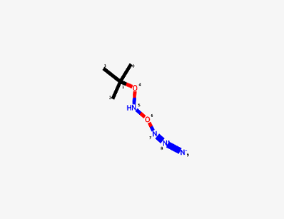 CC(C)(C)ONON=[N+]=[N-]